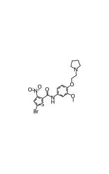 COc1cc(NC(=O)c2sc(Br)cc2[N+](=O)[O-])ccc1OCCN1CCCC1